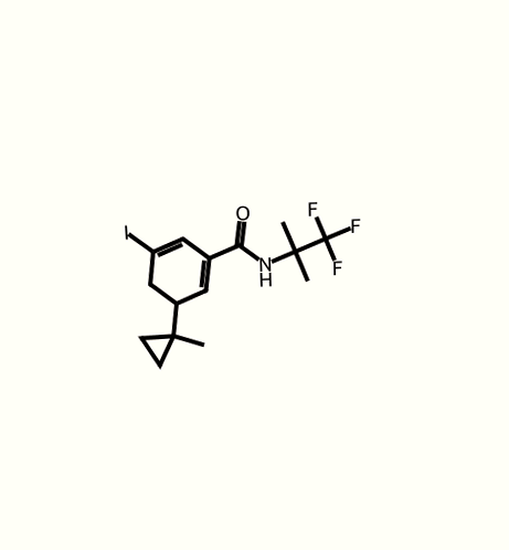 CC1(C2C=C(C(=O)NC(C)(C)C(F)(F)F)C=C(I)C2)CC1